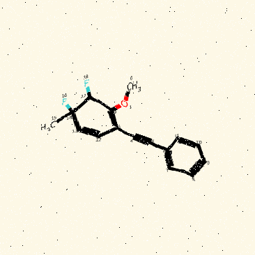 COC1=C(C#Cc2ccccc2)C=CC(C)(F)C1F